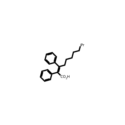 CC(C)CCCCCC(=C(C(=O)O)c1ccccc1)c1ccccc1